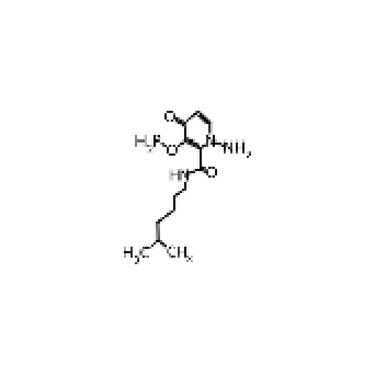 CC(C)CCCCNC(=O)c1c(OP)c(=O)ccn1N